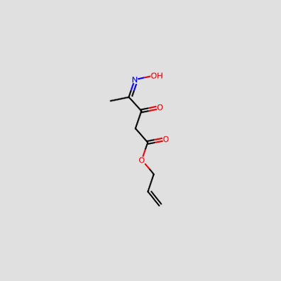 C=CCOC(=O)CC(=O)/C(C)=N\O